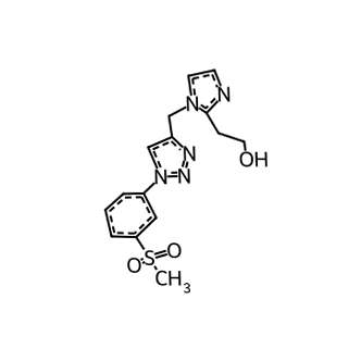 CS(=O)(=O)c1cccc(-n2cc(Cn3ccnc3CCO)nn2)c1